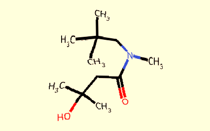 CN(CC(C)(C)C)C(=O)CC(C)(C)O